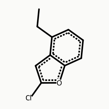 CCc1cccc2oc(Cl)cc12